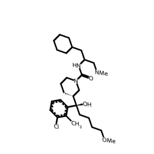 CNCC(CC1CCCCC1)NC(=O)N1CCC[C@@H]([C@](O)(CCCCOC)c2cccc(Cl)c2C)C1